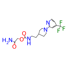 NC(=O)COC(=O)NCCC1CCN(c2cc(C(F)(F)F)ccn2)CC1